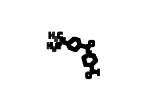 CN(C)C1CCC(C(=O)N2CCC(C(=O)I)CC2)CC1